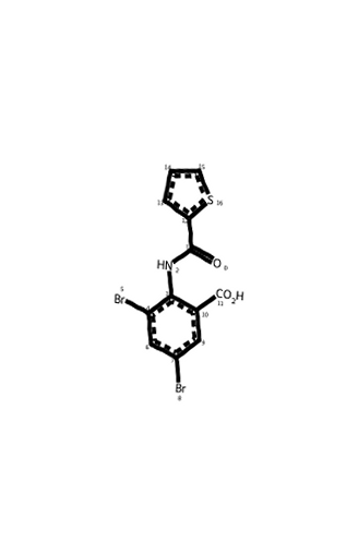 O=C(Nc1c(Br)cc(Br)cc1C(=O)O)c1cccs1